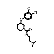 CN(C)CCNC(=O)N1CCCC(Oc2ccc(Cl)c(Cl)c2)C1